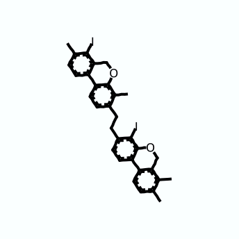 Cc1ccc2c(c1C)COc1c-2ccc(CCc2ccc3c(c2C)OCc2c-3ccc(C)c2I)c1I